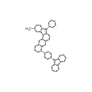 Cc1ccc2c(c1)c1c3cc4cccc(-c5ccc(-n6c7ccccc7c7ccccc76)cc5)c4cc3ccc1n2-c1ccccc1